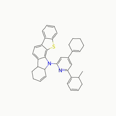 CC1CC=CC=C1c1cc(C2=CCCCC2)cc(N2c3c(ccc4c3sc3ccccc34)C3CCC=CC32)n1